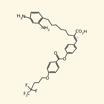 Nc1ccc(CCCCCC/C(=C\c2ccc(OC(=O)c3ccc(OCCCC(F)(F)C(F)(F)F)cc3)cc2)C(=O)O)c(N)c1